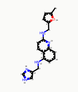 Cc1ccc(CNc2ccc3c(NCc4c[nH]cn4)cccc3n2)o1